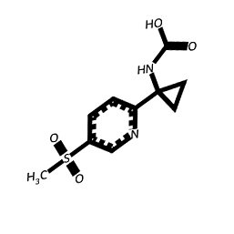 CS(=O)(=O)c1ccc(C2(NC(=O)O)CC2)nc1